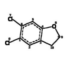 Clc1cc2c(cc1Cl)O[C]C2